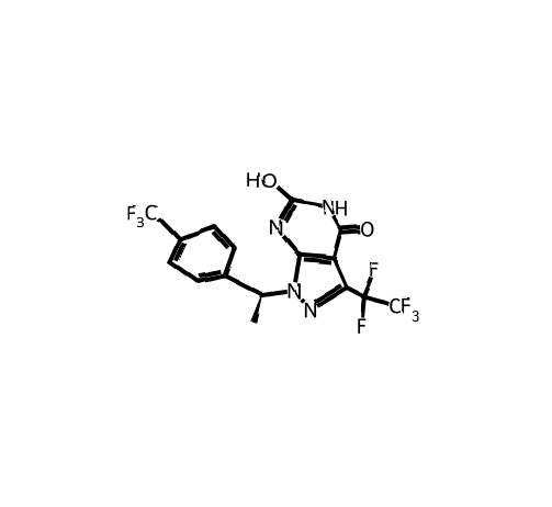 C[C@@H](c1ccc(C(F)(F)F)cc1)n1nc(C(F)(F)C(F)(F)F)c2c(=O)[nH]c(O)nc21